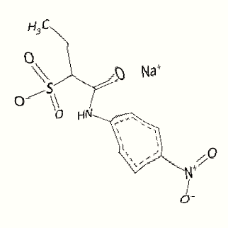 CCC(C(=O)Nc1ccc([N+](=O)[O-])cc1)S(=O)(=O)[O-].[Na+]